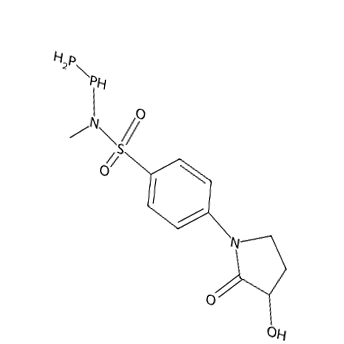 CN(PP)S(=O)(=O)c1ccc(N2CCC(O)C2=O)cc1